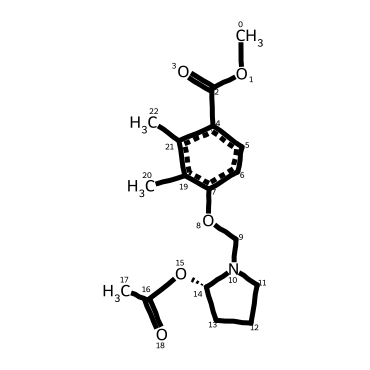 COC(=O)c1ccc(OCN2CCC[C@@H]2OC(C)=O)c(C)c1C